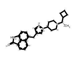 C[C@@H](C1CCC1)N1CCC(n2cc(Cc3ccc4c5c(cccc35)C(=O)N4)cn2)CC1